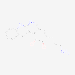 NCCCC1=Cc2cnc3nc4ccccc4cc3c2C(=O)C1=O